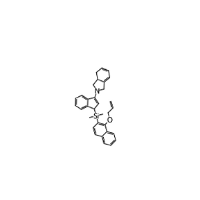 C=CCOc1c([Si](C)(C)C2C=C(N3CC4=CC=CCC4C3)c3ccccc32)ccc2ccccc12